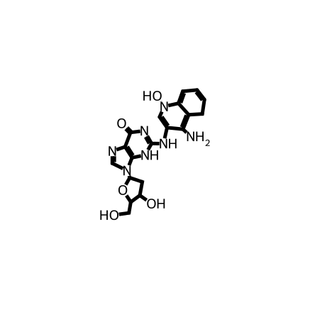 NC1=C2CC=CC=C2N(O)C=C1Nc1nc(=O)c2ncn(C3CC(O)C(CO)O3)c2[nH]1